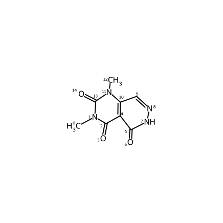 Cn1c(=O)c2c(=O)[nH]ncc2n(C)c1=O